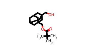 CC(C)(C)C(=O)OCC12CC3CC(CC(CO)(C3)C1)C2